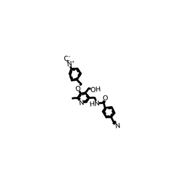 [C-]#[N+]c1ccc(COc2c(C)ncc(CNC(=O)c3ccc(C#N)cc3)c2CO)cc1